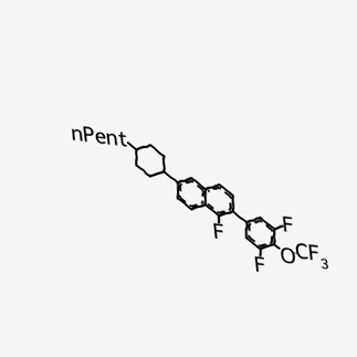 CCCCCC1CCC(c2ccc3c(F)c(-c4cc(F)c(OC(F)(F)F)c(F)c4)ccc3c2)CC1